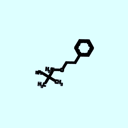 CCCC(C)(C)[SiH2]OCCc1ccccc1